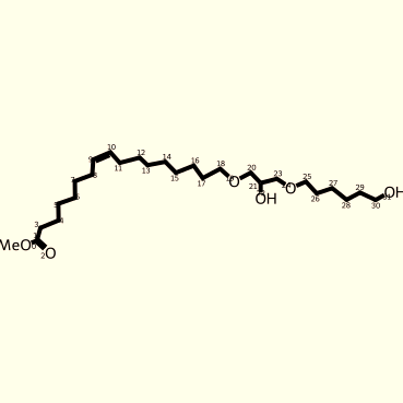 COC(=O)CCCCCC/C=C\CCCCCCCCOCC(O)COCCCCCCO